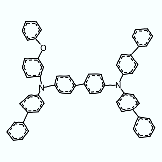 c1ccc(Oc2cccc(N(c3ccc(-c4ccccc4)cc3)c3ccc(-c4ccc(N(c5ccc(-c6ccccc6)cc5)c5ccc(-c6ccccc6)cc5)cc4)cc3)c2)cc1